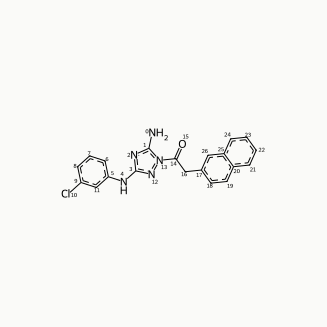 Nc1nc(Nc2cccc(Cl)c2)nn1C(=O)Cc1ccc2ccccc2c1